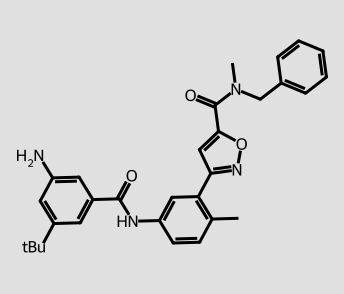 Cc1ccc(NC(=O)c2cc(N)cc(C(C)(C)C)c2)cc1-c1cc(C(=O)N(C)Cc2ccccc2)on1